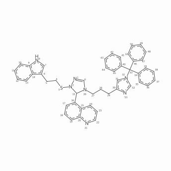 C1=NN(SCCc2c[nH]c3ccccc23)C(c2cccc3ncccc23)N1CCCc1cn(C(c2ccccc2)(c2ccccc2)c2ccccc2)cn1